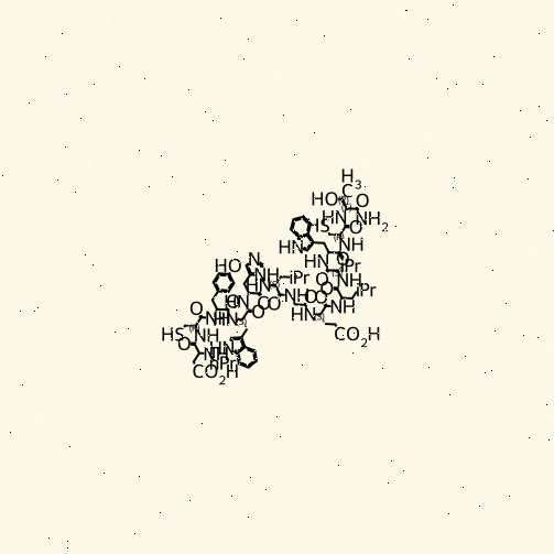 CCCNC(CC(=O)O)C(=O)N[C@@H](CS)C(=O)NC(Cc1ccc(O)cc1)C(=O)N[C@@H](Cc1c[nH]c2ccccc12)C(=O)NC(Cc1cnc[nH]1)C(=O)N[C@@H](CC(C)C)C(=O)NCC(=O)N[C@@H](CCC(=O)O)C(=O)NC(CC(C)C)C(=O)N[C@H](C(=O)NC(Cc1c[nH]c2ccccc12)C(=O)N[C@@H](CS)C(=O)N[C@H](C(N)=O)[C@@H](C)O)C(C)C